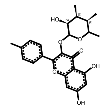 Cc1ccc(-c2oc3cc(O)cc(O)c3c(=O)c2OC2OC(C)[C@H](C)[C@H](C)[C@@H]2O)cc1